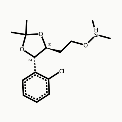 C[SiH](C)OCC[C@@H]1OC(C)(C)O[C@H]1c1ccccc1Cl